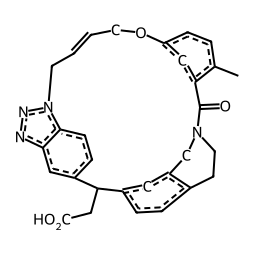 Cc1ccc2cc1C(=O)N1CCc3ccc(cc3C1)C(CC(=O)O)c1ccc3c(c1)nnn3C/C=C/CO2